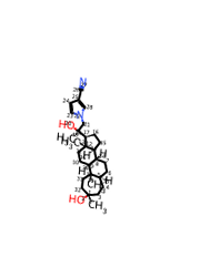 C[C@]1(O)CC[C@@H]2CC[C@@H]3[C@H](CC[C@@]4(C)[C@H]3CC[C@@H]4[C@@](C)(O)Cn3ccc(C#N)c3)[C@@]2(C)CC1